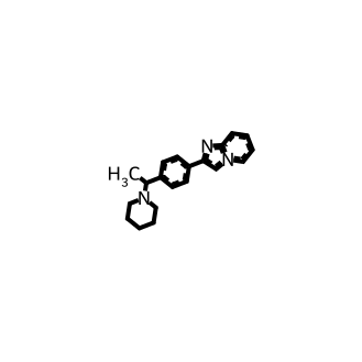 CC(c1ccc(-c2cn3ccccc3n2)cc1)N1CCCCC1